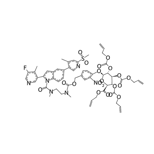 C=CCOC(=O)O[C@@H]1[C@@H](OC(=O)OCC=C)[C@H](Oc2ccc(COC(=O)N(C)CCN(C)C(=O)n3c(-c4cncc(F)c4C)cc4cc(-c5cnc(S(C)(=O)=O)cc5C)ccc43)cc2[N+](=O)[O-])O[C@H](C(=O)OCC=C)[C@H]1OC(=O)OCC=C